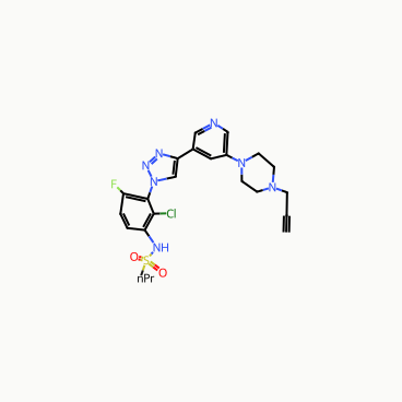 C#CCN1CCN(c2cncc(-c3cn(-c4c(F)ccc(NS(=O)(=O)CCC)c4Cl)nn3)c2)CC1